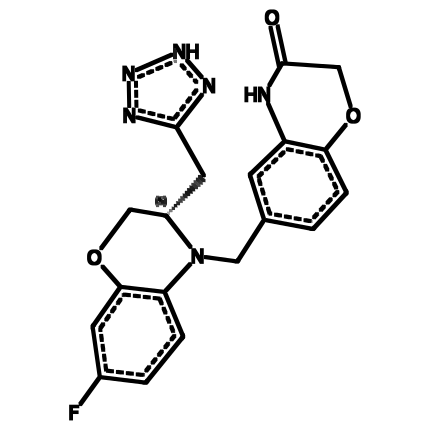 O=C1COc2ccc(CN3c4ccc(F)cc4OC[C@@H]3Cc3nn[nH]n3)cc2N1